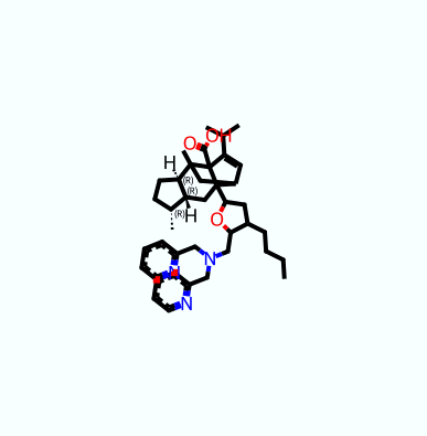 CCCCC1CC(C23C[C@@H]4[C@H](C)CC[C@H]4C4(C)CC2C=C(C(C)C)C34C(=O)O)OC1CN(Cc1ccccn1)Cc1ccccn1